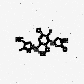 CCOc1c([C@H](C)n2cc(C#N)c(C)n2)cc(Cl)c(F)c1[C@@H]1CNC(=O)C1